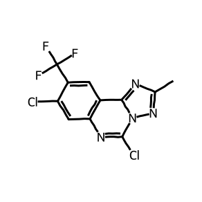 Cc1nc2c3cc(C(F)(F)F)c(Cl)cc3nc(Cl)n2n1